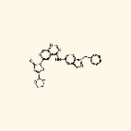 O=C1C=C(C2OCCO2)OC1c1cc2c(Nc3ccc4c(cnn4Cc4ccccc4)c3)ncnc2cn1